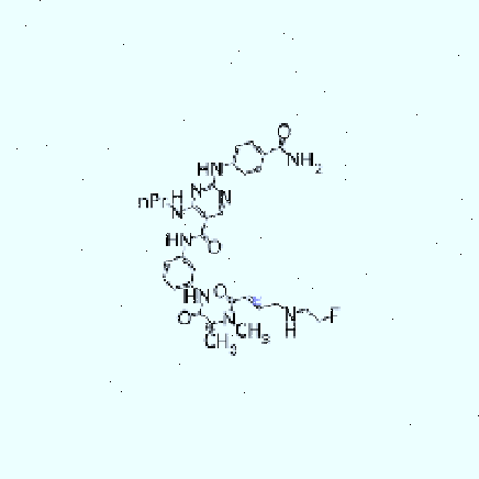 CCCNc1nc(Nc2ccc(C(N)=O)cc2)ncc1C(=O)Nc1cccc(NC(=O)[C@H](C)N(C)C(=O)/C=C/CNCCF)c1